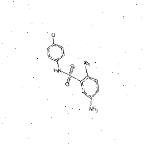 CC(C)c1ccc(N)cc1S(=O)(=O)Nc1ccc(Cl)cc1